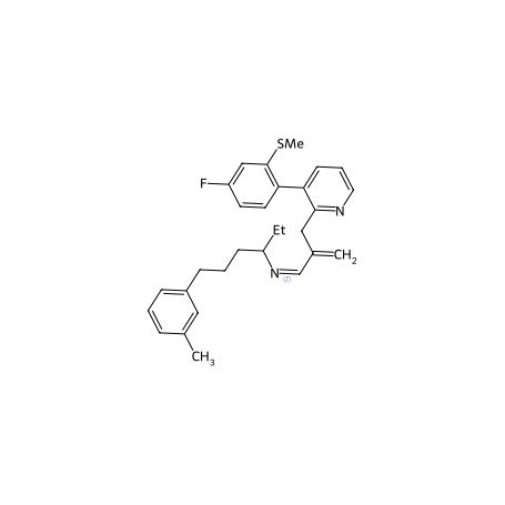 C=C(/C=N\C(CC)CCCc1cccc(C)c1)Cc1ncccc1-c1ccc(F)cc1SC